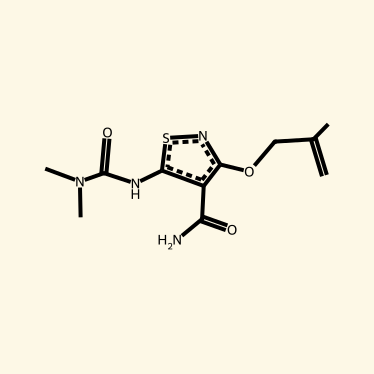 C=C(C)COc1nsc(NC(=O)N(C)C)c1C(N)=O